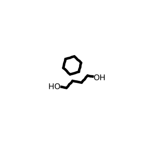 C1CCCCC1.OCCCCO